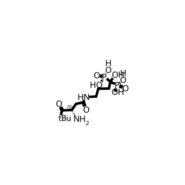 CC(C)(C)C(=O)[C@@H](N)CC(=O)NCCCC(O)(P(=O)(O)O)P(=O)(O)O